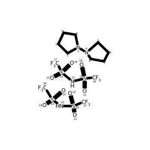 C1CCN(N2CCCC2)C1.O=S(=O)(NS(=O)(=O)C(F)(F)F)C(F)(F)F.O=S(=O)(NS(=O)(=O)C(F)(F)F)C(F)(F)F